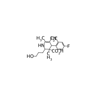 CC1=C(C#N)C(c2ccc(F)cc2C(F)(F)F)C(C)(C(=O)O)C(CCCO)N1